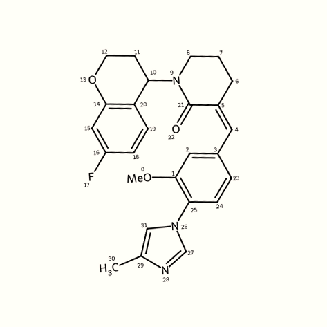 COc1cc(C=C2CCCN(C3CCOc4cc(F)ccc43)C2=O)ccc1-n1cnc(C)c1